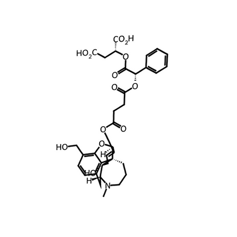 CN1CCC[C@]23c4c5ccc(CO)c4O[C@H]2C(OC(=O)CCC(=O)O[C@H](C(=O)O[C@H](CC(=O)O)C(=O)O)c2ccccc2)=CC[C@@]3(O)[C@H]1C5